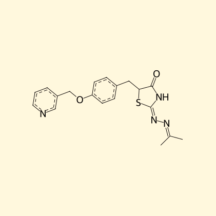 CC(C)=N/N=C1\NC(=O)C(Cc2ccc(OCc3cccnc3)cc2)S1